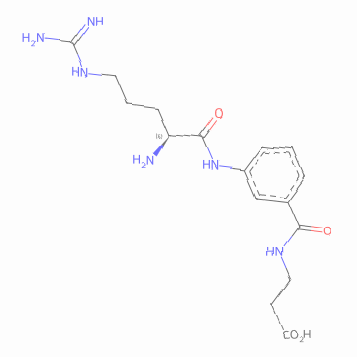 N=C(N)NCCC[C@H](N)C(=O)Nc1cccc(C(=O)NCCC(=O)O)c1